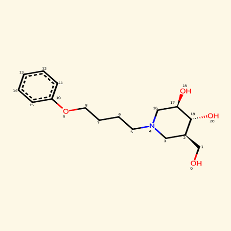 OC[C@H]1CN(CCCCOc2ccccc2)C[C@@H](O)[C@@H]1O